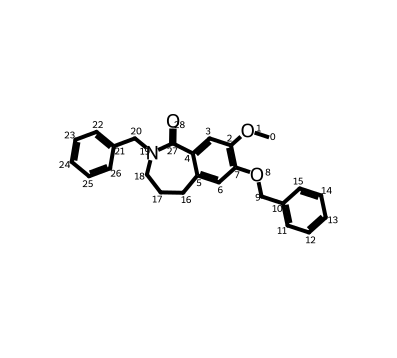 COc1cc2c(cc1OCc1ccccc1)CCCN(Cc1ccccc1)C2=O